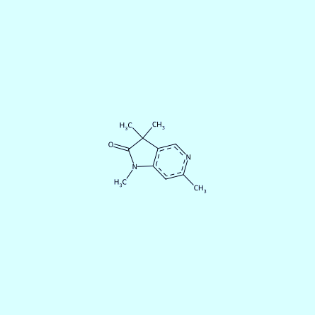 Cc1cc2c(cn1)C(C)(C)C(=O)N2C